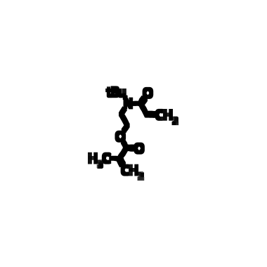 C=CC(=O)N(CCOC(=O)C(=C)C)C(C)(C)C